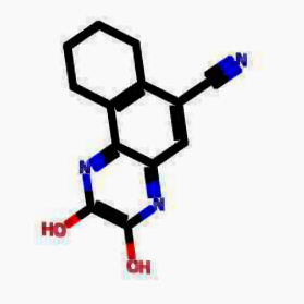 N#Cc1cc2nc(O)c(O)nc2c2c1CCCC2